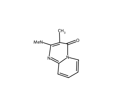 CNc1nc2ccccn2c(=O)c1C